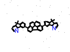 CC1(C)c2ccc(-c3ccc4c5c3ccc3ccc6c(-c7ccc8c(c7)-c7ncccc7C8(C)C)ccc-4c6c35)cc2-c2ncccc21